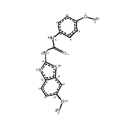 CCCOc1ccc(NC(=O)Nc2nc3ccc(OC(C)C)cc3s2)cc1